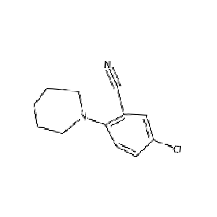 N#Cc1cc(Cl)ccc1N1CCCCC1